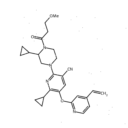 C=Cc1ccnc(Oc2cc(C#N)c(N3CCN(C(=O)CCOC)C(C4CC4)C3)nc2C2CC2)c1